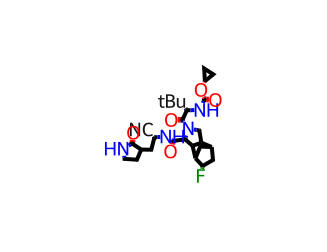 CC(C)(C)C(NC(=O)OC1CC1)C(=O)N1CC2C3CC(F)C(C3)C2C1C(=O)NC(C#N)CC1CCNC1=O